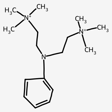 C[N+](C)(C)CCN(CC[N+](C)(C)C)c1ccccc1